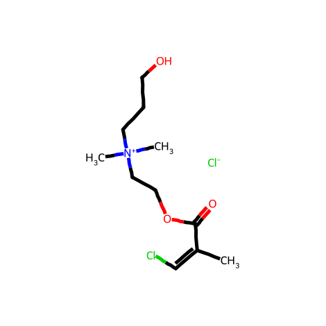 CC(=CCl)C(=O)OCC[N+](C)(C)CCCO.[Cl-]